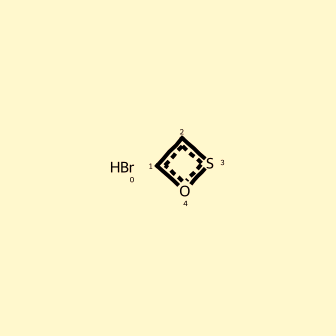 Br.c1cso1